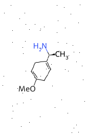 COC1=CCC([C@H](C)N)=CC1